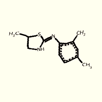 Cc1ccc(N=C2NCC(C)S2)c(C)c1